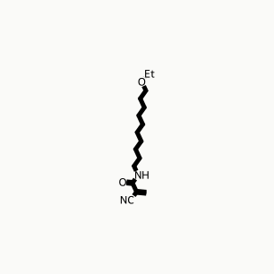 C=C(C#N)C(=O)NCCCCCCCCCCOCC